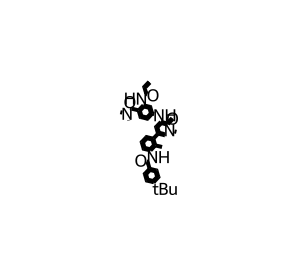 C=CC(=O)Nc1cc(Nc2cc(-c3cccc(NC(=O)c4ccc(C(C)(C)C)cc4)c3C)cn(C)c2=O)ccc1C(=O)N(C)C